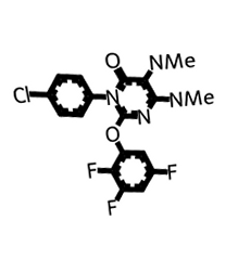 CNc1nc(Oc2cc(F)cc(F)c2F)n(-c2ccc(Cl)cc2)c(=O)c1NC